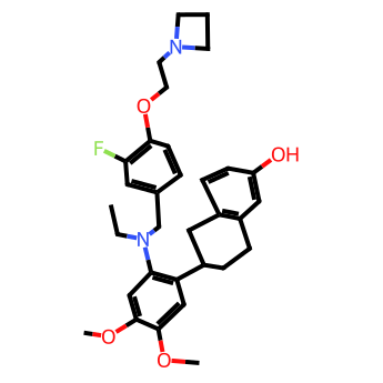 CCN(Cc1ccc(OCCN2CCC2)c(F)c1)c1cc(OC)c(OC)cc1C1CCc2cc(O)ccc2C1